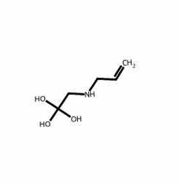 C=CCNCC(O)(O)O